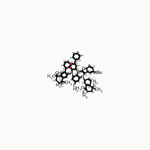 Cc1cc2c3c(c1)N(C1C=CC4=C(C1)C(C)(C)CCC4(C)C)C1=C(OC4C=CC(C(C)(C)C)=CC14)B3c1cc(-c3ccccc3)ccc1N2c1cc2c(cc1-c1ccccc1)C(C)(C)CCC2(C)C